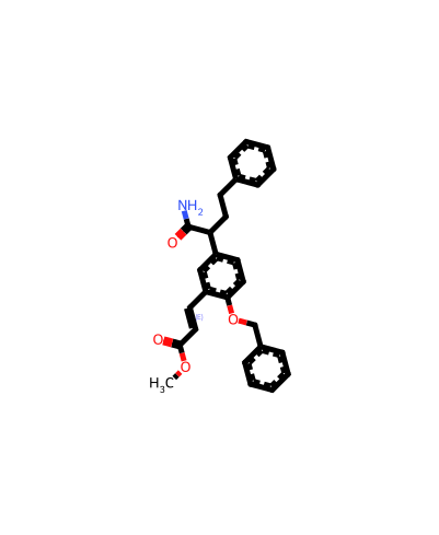 COC(=O)/C=C/c1cc(C(CCc2ccccc2)C(N)=O)ccc1OCc1ccccc1